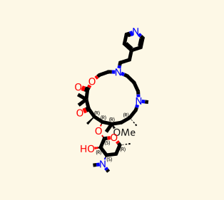 CO[C@]1(C)C[C@@H](C)CN(C)CCCN(CCc2ccncc2)CCOC(=O)C(C)(C)C(=O)[C@H](C)[C@H]1O[C@@H]1O[C@H](C)C[C@H](N(C)C)[C@H]1O